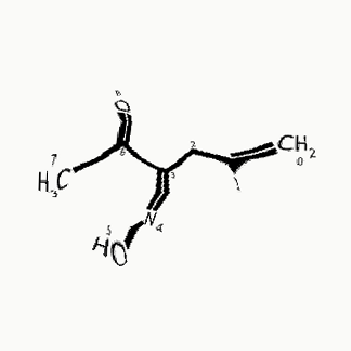 C=CCC(=NO)C(C)=O